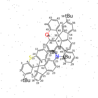 CC(C)(C)c1ccc2c(c1)C1(c3cc(C(C)(C)C)ccc3S2)c2ccccc2-c2ccc(N(c3ccccc3)c3ccc4c(c3)C3(c5ccccc5O4)c4cc(C(C)(C)C)ccc4-c4ccc(C(C)(C)C)cc43)cc21